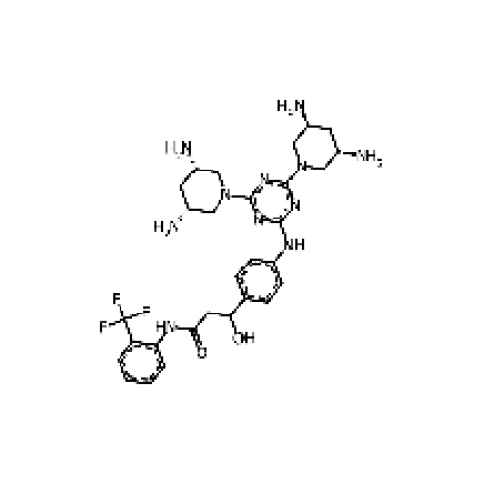 N[C@@H]1C[C@H](N)CN(c2nc(Nc3ccc(C(O)CC(=O)Nc4ccccc4C(F)(F)F)cc3)nc(N3C[C@H](N)C[C@H](N)C3)n2)C1